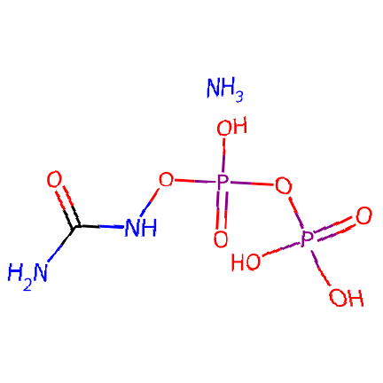 N.NC(=O)NOP(=O)(O)OP(=O)(O)O